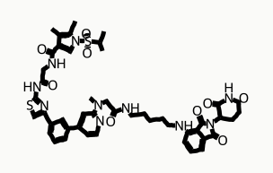 Cc1c(C(=O)NCC(=O)Nc2nc(-c3cccc(-c4ccnc(N(C)CC(=O)NCCCCCNc5cccc6c5C(=O)N(C5CCC(=O)NC5=O)C6=O)c4)c3)cs2)cn(S(=O)(=O)C(C)C)c1C